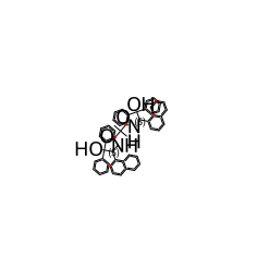 CC(C)(C(=O)N[C@@H](c1cccc2ccccc12)C(O)(c1ccccc1)c1ccccc1)C(=O)N[C@@H](c1cccc2ccccc12)C(O)(c1ccccc1)c1ccccc1